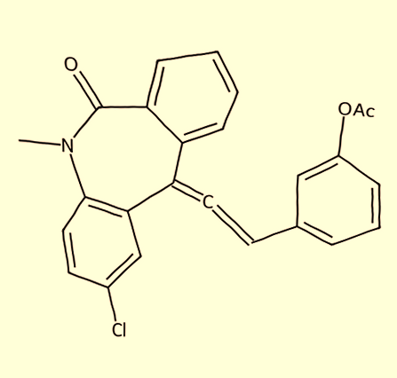 CC(=O)Oc1cccc(C=C=C2c3ccccc3C(=O)N(C)c3ccc(Cl)cc32)c1